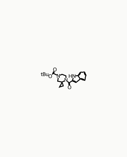 CC(C)(C)OC(=O)N1CCN(C(=O)c2cc3ccccc3[nH]2)C2(CC2)C1